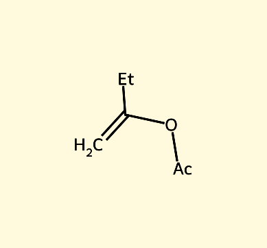 C=C(CC)OC(C)=O